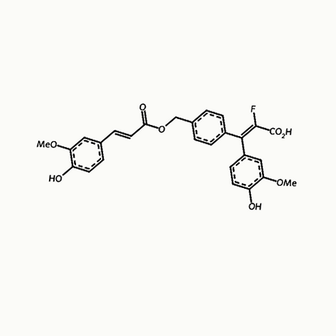 COc1cc(/C=C/C(=O)OCc2ccc(/C(=C(\F)C(=O)O)c3ccc(O)c(OC)c3)cc2)ccc1O